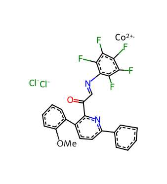 COc1ccccc1-c1ccc(-c2ccccc2)nc1C(=O)C=Nc1c(F)c(F)c(F)c(F)c1F.[Cl-].[Cl-].[Co+2]